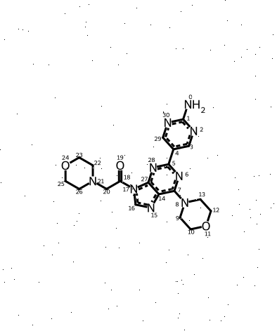 Nc1ncc(-c2nc(N3CCOCC3)c3ncn(C(=O)CN4CCOCC4)c3n2)cn1